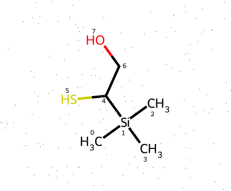 C[Si](C)(C)C(S)CO